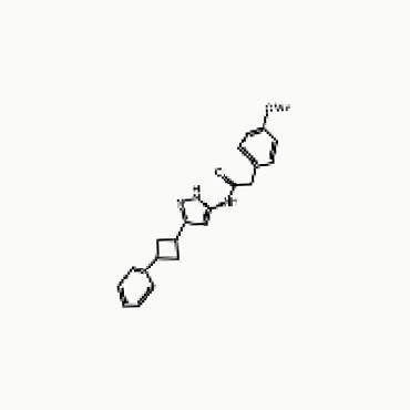 COc1ccc(CC(=O)Nc2cc(C3CC(c4ccccc4)C3)n[nH]2)cc1